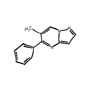 Cc1cn2nccc2nc1-c1ccccc1